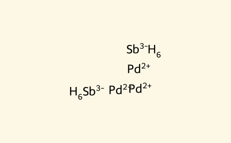 [Pd+2].[Pd+2].[Pd+2].[SbH6-3].[SbH6-3]